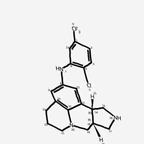 FC(F)(F)c1ccc(Cl)c(Nc2cc3c4c(c2)[C@@H]2CNC[C@@H]2CN4CCC3)c1